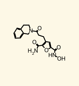 NC(=O)c1oc(C(=O)NO)cc1CCC(=O)N1CCc2ccccc2C1